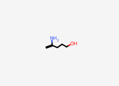 C=C(N)CCCO